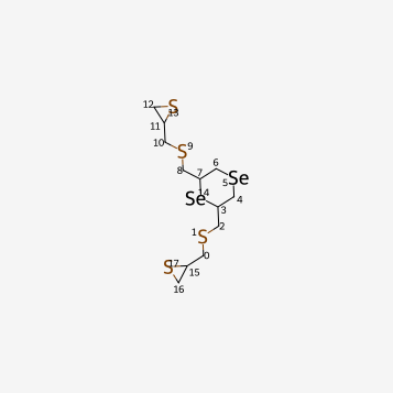 C(SCC1C[Se]CC(CSCC2CS2)[Se]1)C1CS1